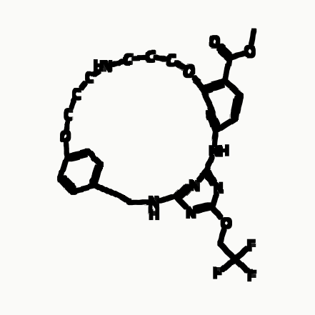 COC(=O)c1ccc2cc1OCCCNCCCOc1ccc(cc1)CNc1nc(nc(OCC(F)(F)F)n1)N2